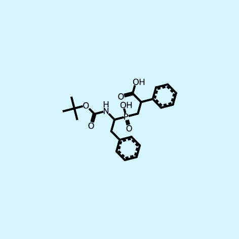 CC(C)(C)OC(=O)NC(Cc1ccccc1)P(=O)(O)CC(C(=O)O)c1ccccc1